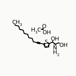 CC(=O)O.CCCCCCCCCCC#Cc1ccc(C(O)[C@@H](N)CO)s1